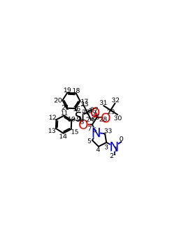 CN(C)C1CCN(C(O[Si](c2ccccc2)(c2ccccc2)C(C)(C)C)C(=O)OC(C)(C)C)C1